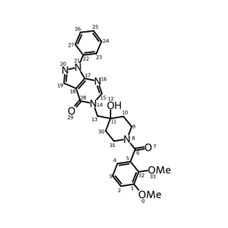 COc1cccc(C(=O)N2CCC(O)(Cn3cnc4c(cnn4-c4ccccc4)c3=O)CC2)c1OC